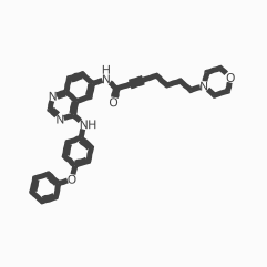 O=C(C#CCCCCN1CCOCC1)Nc1ccc2ncnc(Nc3ccc(Oc4ccccc4)cc3)c2c1